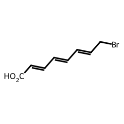 O=C(O)C=CC=CC=CCBr